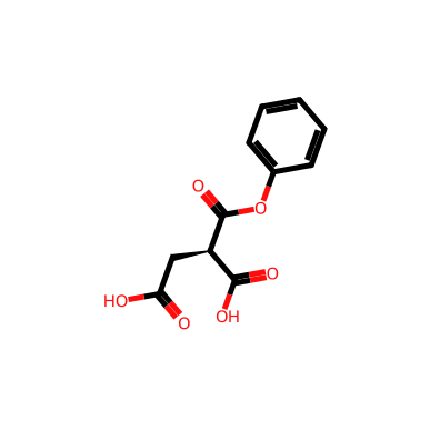 O=C(O)C[C@H](C(=O)O)C(=O)Oc1ccccc1